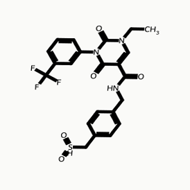 CCn1cc(C(=O)NCc2ccc(C[SH](=O)=O)cc2)c(=O)n(-c2cccc(C(F)(F)F)c2)c1=O